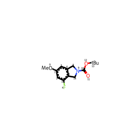 COc1cc(F)c2c(c1)CN(C(=O)OC(C)(C)C)C2